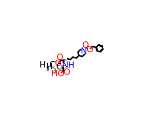 CCOC(=O)[C@H](CCCCC1CCN(C(=O)OCc2ccccc2)CC1)N[C@@H](C)C(=O)O